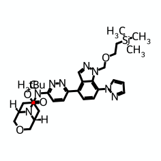 CN(c1ccc(-c2ccc(-n3cccn3)c3c2cnn3COCC[Si](C)(C)C)nn1)C1C[C@H]2COC[C@@H](C1)N2C(=O)OC(C)(C)C